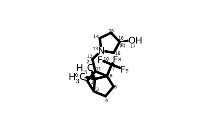 CC1(C)C2CCC1(C(F)(F)F)C(CN1CC[C@@H](O)C1)C2